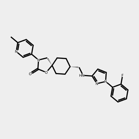 Cc1ccc(N2C[C@]3(CC[C@@H](CNc4ccn(-c5ccccc5F)n4)CC3)OC2=O)cn1